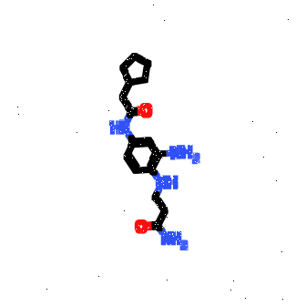 NC(=O)CCNc1ccc(NC(=O)CC2CCCC2)cc1N